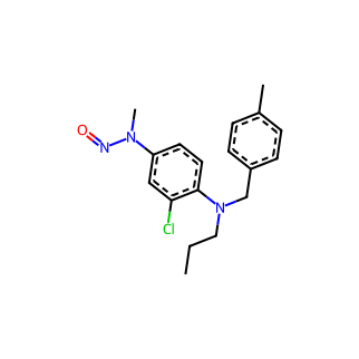 CCCN(Cc1ccc(C)cc1)c1ccc(N(C)N=O)cc1Cl